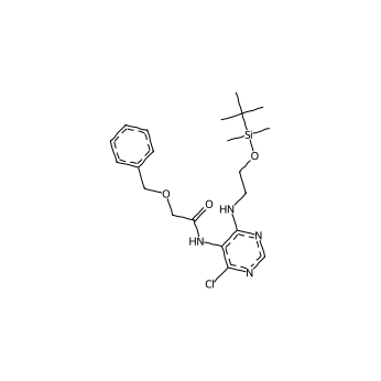 CC(C)(C)[Si](C)(C)OCCNc1ncnc(Cl)c1NC(=O)COCc1ccccc1